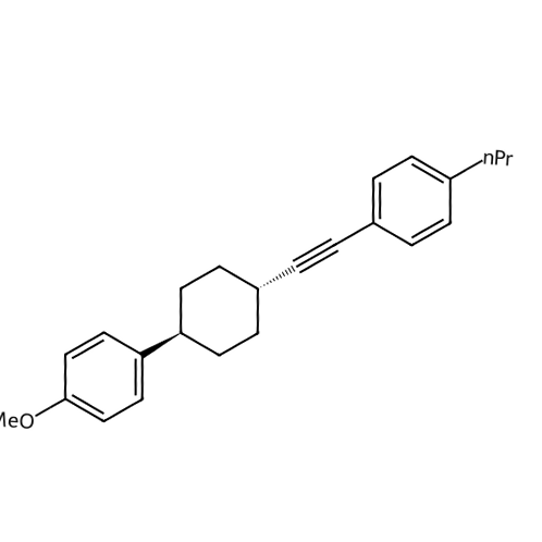 CCCc1ccc(C#C[C@H]2CC[C@H](c3ccc(OC)cc3)CC2)cc1